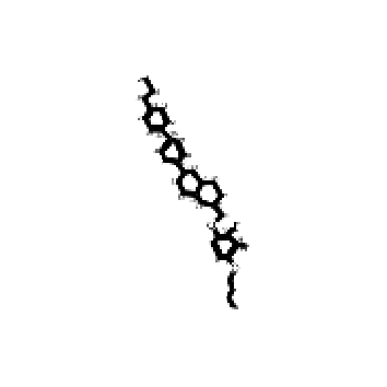 CCCCOc1ccc(OCC2CCC3CC(c4ccc(-c5ccc(CCC)cc5)cc4)CCC3C2)c(F)c1F